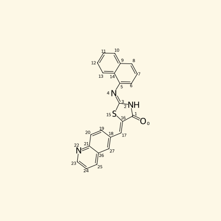 O=C1NC(=Nc2cccc3ccccc23)SC1=Cc1ccc2ncccc2c1